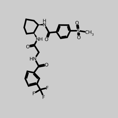 CS(=O)(=O)c1ccc(C(=O)N[C@@H]2CCCC[C@@H]2NC(=O)CNC(=O)c2cccc(C(F)(F)F)c2)cc1